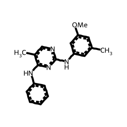 COc1cc(C)cc(Nc2ncc(C)c(Nc3ccccc3)n2)c1